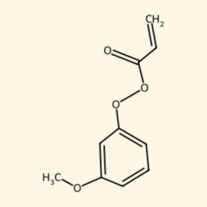 C=CC(=O)OOc1cccc(OC)c1